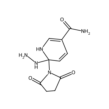 NNC1(N2C(=O)CCC2=O)C=CC(C(N)=O)=CN1